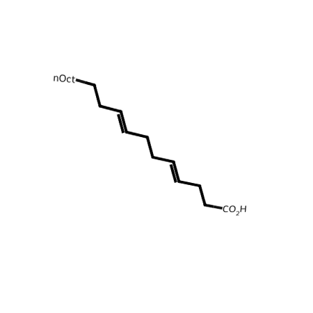 CCCCCCCCCCC=CCCC=CCCC(=O)O